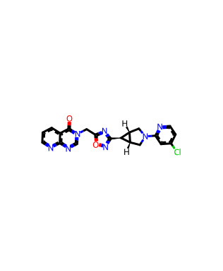 O=c1c2cccnc2ncn1Cc1nc([C@H]2[C@@H]3CN(c4cc(Cl)ccn4)C[C@@H]32)no1